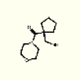 [NH]CC1(C(=O)N2CCOCC2)CCCC1